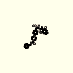 CC(N[C@@H](Cc1ccc(N2CCN(C(=O)OCc3ccccc3)CC2)cc1)C(=O)O)=C1C(=O)CC(C)(C)CC1=O